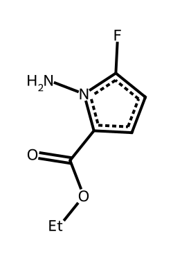 CCOC(=O)c1ccc(F)n1N